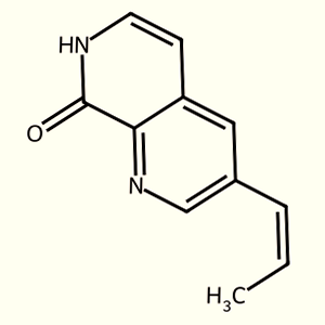 C/C=C\c1cnc2c(=O)[nH]ccc2c1